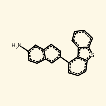 Nc1ccc2cc(-c3cccc4sc5ccccc5c34)ccc2c1